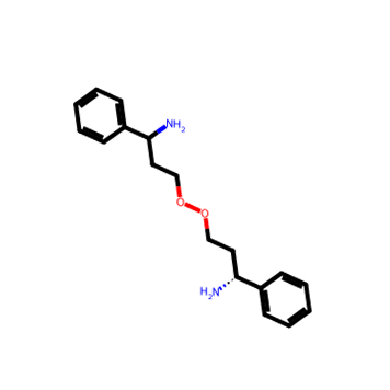 NC(CCOOCC[C@@H](N)c1ccccc1)c1ccccc1